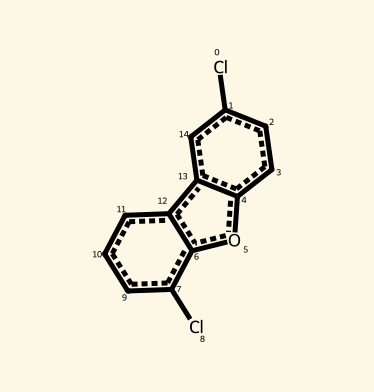 Clc1ccc2oc3c(Cl)cccc3c2c1